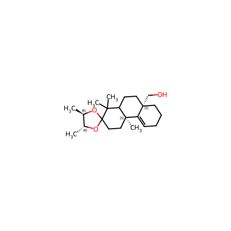 C[C@H]1OC2(CC[C@]3(C)C4=CCCC[C@]4(CO)CCC3C2(C)C)O[C@@H]1C